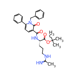 CC(=N)NCCC[C@H](NC(=O)c1ccc(-c2ccccc2)n(Cc2ccccc2)c1=O)C(=O)OC(C)(C)C